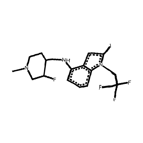 CN1CCC(Nc2cccc3c2cc(I)n3CC(F)(F)F)C(F)C1